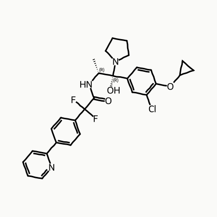 C[C@@H](NC(=O)C(F)(F)c1ccc(-c2ccccn2)cc1)[C@](O)(c1ccc(OC2CC2)c(Cl)c1)N1CCCC1